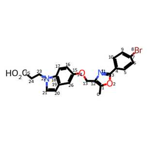 Cc1oc(-c2ccc(Br)cc2)nc1COc1ccc2c(ccn2CCC(=O)O)c1